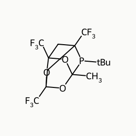 CC(C)(C)P1C2(C)OC3(C(F)(F)F)CC1(C(F)(F)F)CC(C(F)(F)F)(O2)O3